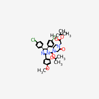 COc1ccc(C2=N[C@@H](c3ccc(Cl)cc3)[C@@H](c3ccc(Cl)cc3)N2C(=O)N2CCN(CC(=O)OC(C)(C)C)C(=O)C2)c(OC(C)C)c1